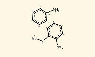 CCSc1ccccc1N.Nc1ccccc1